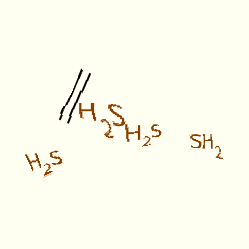 C=C.S.S.S.S